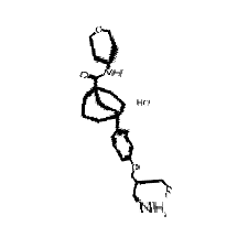 Cl.NCC(=CF)COc1ccc(C23CCCC(C(=O)NC4CCOCC4)(CC2)CC3)cc1